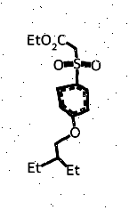 CCOC(=O)CS(=O)(=O)c1ccc(OCC(CC)CC)cc1